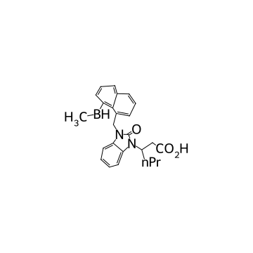 CBc1cccc2cccc(Cn3c(=O)n(C(CCC)CC(=O)O)c4ccccc43)c12